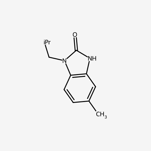 Cc1ccc2c(c1)[nH]c(=O)n2CC(C)C